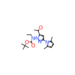 CCN(C(=O)OC(C)(C)C)n1nc(-n2c(C)ccc2C)cc1C(C)=O